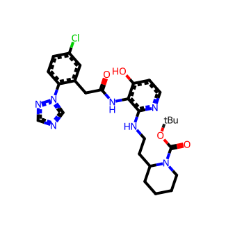 CC(C)(C)OC(=O)N1CCCCC1CCNc1nccc(O)c1NC(=O)Cc1cc(Cl)ccc1-n1cncn1